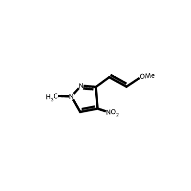 COC=Cc1nn(C)cc1[N+](=O)[O-]